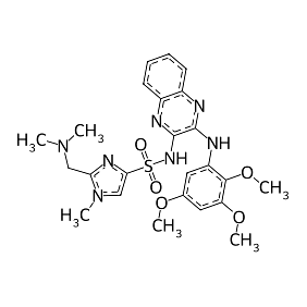 COc1cc(Nc2nc3ccccc3nc2NS(=O)(=O)c2cn(C)c(CN(C)C)n2)c(OC)c(OC)c1